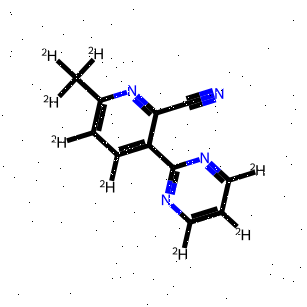 [2H]c1nc(-c2c(C#N)nc(C([2H])([2H])[2H])c([2H])c2[2H])nc([2H])c1[2H]